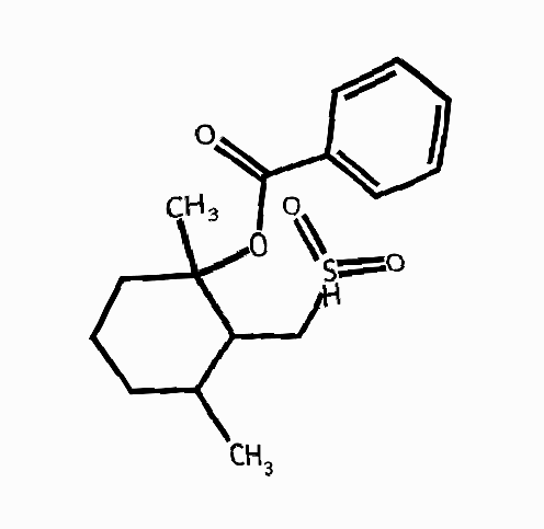 CC1CCCC(C)(OC(=O)c2ccccc2)C1C[SH](=O)=O